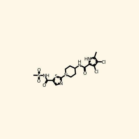 Cc1[nH]c(C(=O)NC2CCN(c3ncc(C(=O)NS(C)(=O)=O)s3)CC2)c(Cl)c1Cl